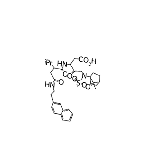 CC(C)C(CC(=O)NCCc1ccc2ccccc2c1)C(=O)NC(CC(=O)O)C(=O)CN(C12CCC(CC1=O)C2(C)C)S(C)(=O)=O